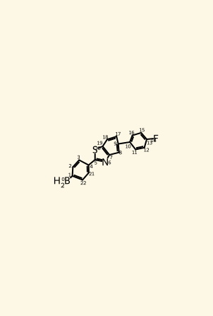 Bc1ccc(-c2nc3cc(-c4ccc(F)cc4)ccc3s2)cc1